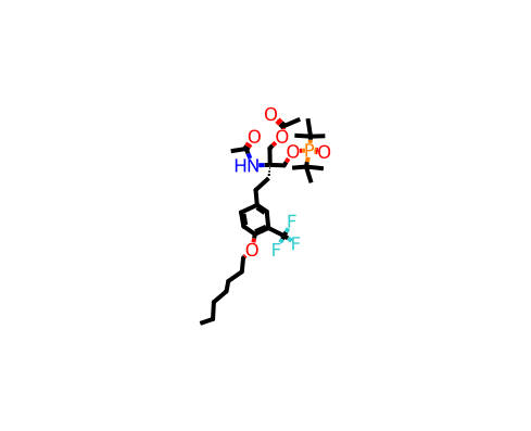 CCCCCCCOc1ccc(CC[C@](COC(C)=O)(COP(=O)(C(C)(C)C)C(C)(C)C)NC(C)=O)cc1C(F)(F)F